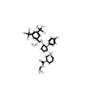 CCOC(=O)[C@@H]1CCCN(C[C@@H]2CC[C@H](O[C@H](C)c3cc(C(F)(F)F)cc(C(F)(F)F)c3)[C@H]2c2ccc(F)cc2)C1